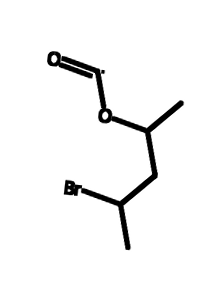 CC(Br)CC(C)O[C]=O